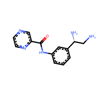 NC[C@@H](N)c1cccc(NC(=O)c2cnccn2)c1